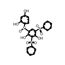 O=S(=O)(c1ccccc1)c1cc([S+]([O-])c2ccc(O)cc2O)c(O)c(S(=O)(=O)c2ccccc2)c1O